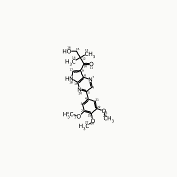 COc1cc(-c2cnc3c(C(=O)C(C)(C)CO)c[nH]c3n2)cc(OC)c1OC